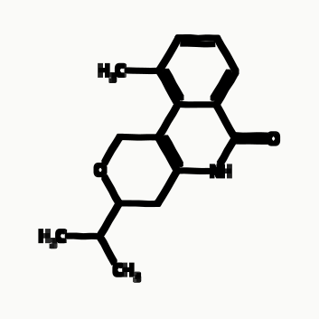 Cc1cccc2c(=O)[nH]c3c(c12)COC(C(C)C)C3